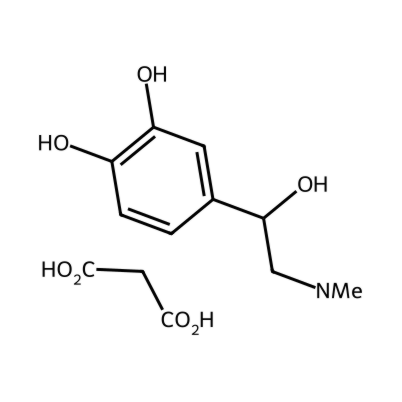 CNCC(O)c1ccc(O)c(O)c1.O=C(O)CC(=O)O